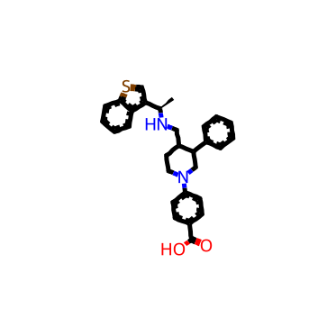 C[C@@H](NCC1CCN(c2ccc(C(=O)O)cc2)CC1c1ccccc1)c1csc2ccccc12